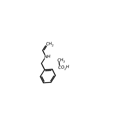 C=CNCc1ccccc1.CC(=O)O